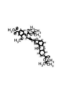 COc1cc(S(C)(=O)=O)ccc1N(CC#Cc1nc2c(N[C@@H]3CCN(C(=O)OC(C)(C)C)C[C@@H]3F)cccc2o1)C(=O)OC(C)(C)C